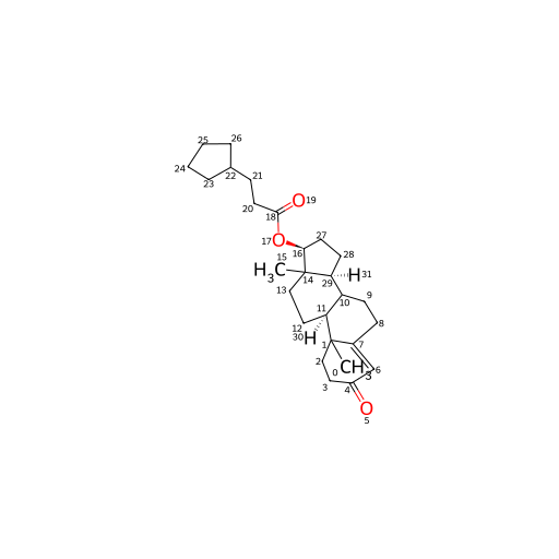 CC12CCC(=O)C=C1CCC1[C@@H]2CCC2(C)[C@@H](OC(=O)CCC3CCCC3)CC[C@@H]12